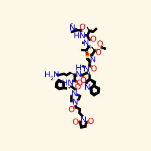 CC[C@H](C)C(NC(=O)C1CN1C)C(=O)N(C)[C@H](C[C@@H](OC(C)=O)c1nc(C(=O)N(C)[C@@H](Cc2cnc3ccccc3c2)C(=O)N[C@H](CCCCN)C(=O)N[C@@H](Cc2ccccc2)C(=O)N2CCN(C(=O)CCCN3C(=O)C=CC3=O)CC2)cs1)C(C)C